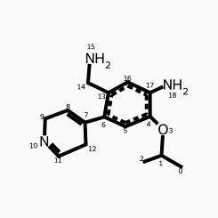 CC(C)Oc1cc(C2=CCN=CC2)c(CN)cc1N